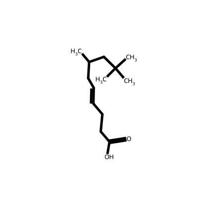 CC(CC=CCCC(=O)O)CC(C)(C)C